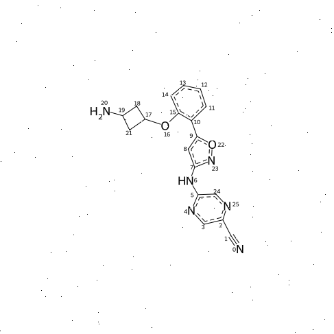 N#Cc1cnc(Nc2cc(-c3ccccc3OC3CC(N)C3)on2)cn1